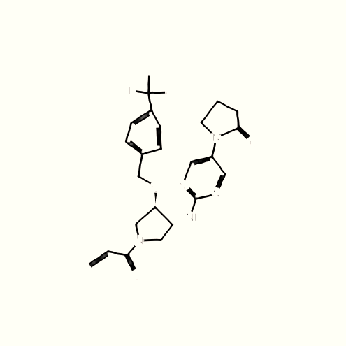 C=CC(=O)N1C[C@@H](Nc2ncc(N3CCCC3=O)cn2)[C@H](OCc2ccc(C(F)(F)F)cc2)C1